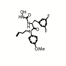 C=CCCN(C(=O)[C@H](Cc1cc(F)cc(F)c1)NC(=O)NO)c1ccc(OC)cc1